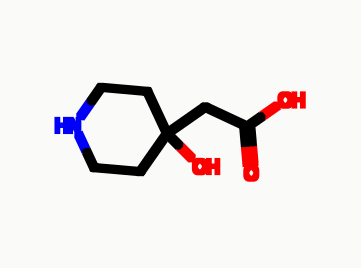 O=C(O)CC1(O)CCNCC1